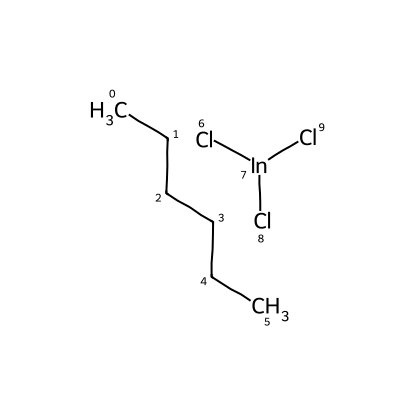 CCCCCC.[Cl][In]([Cl])[Cl]